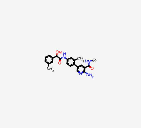 Cc1cccc(C(O)C(=O)Nc2ccc(-c3cnc(N)c(C(=O)NC(C)C)c3)c(C)c2)c1